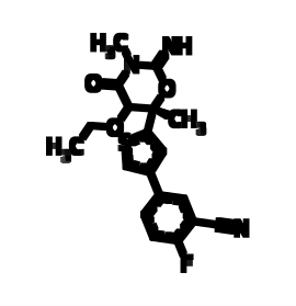 CCOC1C(=O)N(C)C(=N)O[C@]1(C)c1cc(-c2ccc(F)c(C#N)c2)cs1